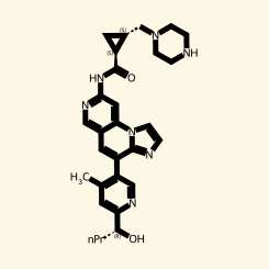 CCC[C@@H](O)c1cc(C)c(-c2cc3cnc(NC(=O)[C@H]4C[C@@H]4CN4CCNCC4)cc3n3ccnc23)cn1